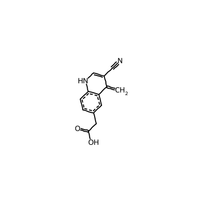 C=C1C(C#N)=CNc2ccc(CC(=O)O)cc21